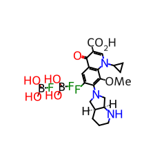 COc1c(N2C[C@@H]3CCCN[C@@H]3C2)c(F)cc2c(=O)c(C(=O)O)cn(C3CC3)c12.OB(O)F.OB(O)F